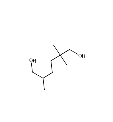 CC(CO)CCC(C)(C)CO